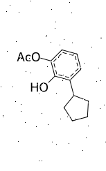 CC(=O)Oc1cccc(C2CCCC2)c1O